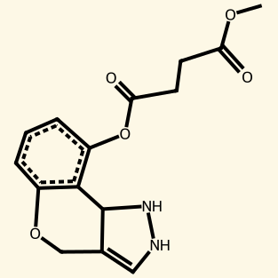 COC(=O)CCC(=O)Oc1cccc2c1C1NNC=C1CO2